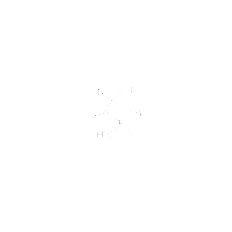 Cc1nscc1P(C)(C)=O